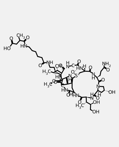 CC[C@H](C)[C@@H]1NC(=O)CNC(=O)[C@@H]2Cc3c([nH]c4c(CSCCNC(=O)CCCCCNC(=O)C(C)CC(=O)O)c(OC)ccc34)[S+]([O-])C[C@H](NC(=O)CNC1=O)C(=O)N[C@@H](CCC(N)=O)C(=O)N1C[C@H](O)C[C@H]1C(=O)N[C@@H]([C@@H](C)[C@@H](O)CO)C(=O)N2